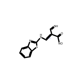 N=C/C(=C\Nc1nc2ccccc2s1)C(=O)N=O